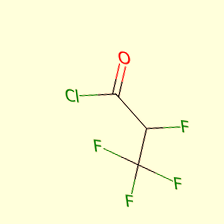 O=C(Cl)C(F)C(F)(F)F